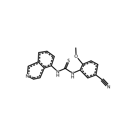 COc1ccc(C#N)cc1NC(=S)Nc1cccc2cnccc12